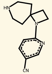 N#Cc1ccc(N2CCC23CCNCC3)nc1